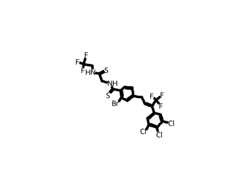 FC(F)(F)CNC(=S)CNC(=S)c1ccc(CC=C(c2cc(Cl)c(Cl)c(Cl)c2)C(F)(F)F)cc1Br